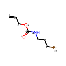 C=CCOC(=O)NCCCBr